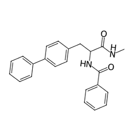 CNC(=O)C(Cc1ccc(-c2ccccc2)cc1)NC(=O)c1ccccc1